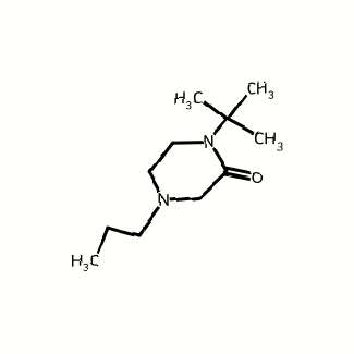 CCCN1CCN(C(C)(C)C)C(=O)C1